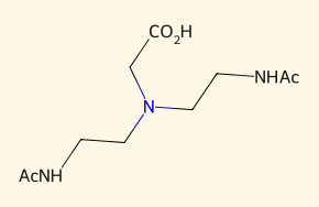 CC(=O)NCCN(CCNC(C)=O)CC(=O)O